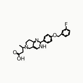 CC(CC(=O)O)N1CCC2=NC(c3ccc(OCc4cccc(F)c4)cc3)NC=C2C1